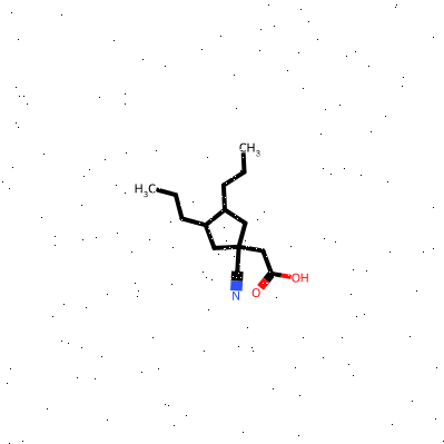 CCCC1CC(C#N)(CC(=O)O)CC1CCC